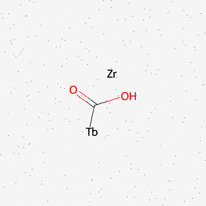 O=[C](O)[Tb].[Zr]